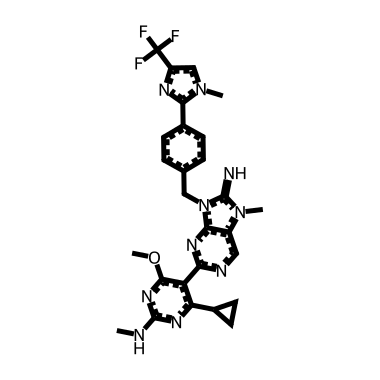 CNc1nc(OC)c(-c2ncc3c(n2)n(Cc2ccc(-c4nc(C(F)(F)F)cn4C)cc2)c(=N)n3C)c(C2CC2)n1